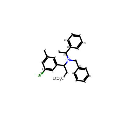 CCOC(=O)CC(c1cc(C)cc(Br)c1)N(Cc1ccccc1)C(C)c1ccccc1